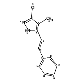 Cc1c(Cl)n[nH]c1C=Cc1ccccc1